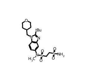 CN(c1ccc2c(c1)nc(C(C)(C)C)n2CC1CCOCC1)S(=O)(=O)CCS(N)(=O)=O